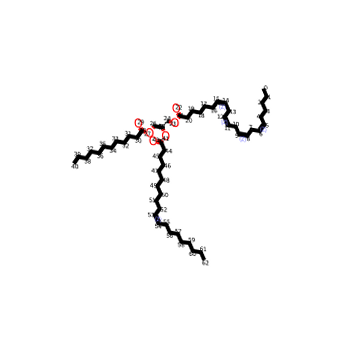 CCCCC/C=C\C/C=C\C/C=C\C/C=C\CCCCCC(=O)OC[C@@H](COC(=O)CCCCCCCCCCC)OC(=O)CCCCCCCCC/C=C\CCCCCCCC